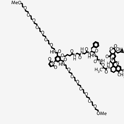 COCCOCCOCCOCCOCCOCCOCCOCCNC(=O)c1cc(N2C(=O)C=CC2=O)cc(C(=O)NCCOCCOCCOCCOCCOCCOCCOCCOC)c1OCCCC(=O)NCC(=O)NCC(=O)N[C@@H](Cc1ccccc1)C(=O)NCC(=O)NCO[C@H](C)C(=O)N[C@H]1CCc2c(C)c(F)cc3nc4c(c1c23)Cn1c-4cc2c(c1=O)COC(=O)[C@]2(O)CC1CC1